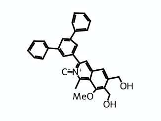 [CH2-][n+]1c(-c2cc(-c3ccccc3)cc(-c3ccccc3)c2)cc2cc(CO)c(CO)c(OC)c2c1C